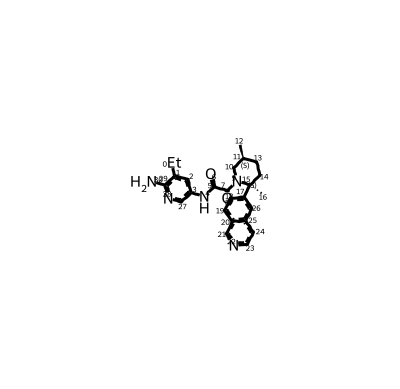 CCc1cc(NC(=O)C(=O)N2C[C@@H](C)CC[C@@]2(C)c2ccc3cnccc3c2)cnc1N